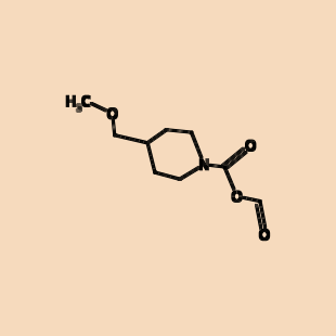 COCC1CCN(C(=O)OC=O)CC1